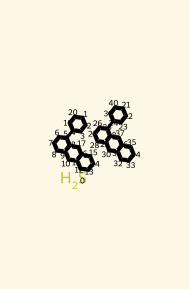 S.c1ccc(-c2cccc3cc4ccccc4cc23)cc1.c1ccc(-c2cccc3cc4ccccc4cc23)cc1